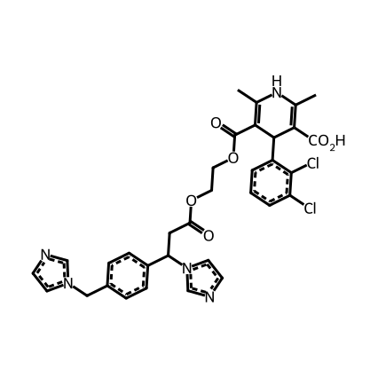 CC1=C(C(=O)O)C(c2cccc(Cl)c2Cl)C(C(=O)OCCOC(=O)CC(c2ccc(Cn3ccnc3)cc2)n2ccnc2)=C(C)N1